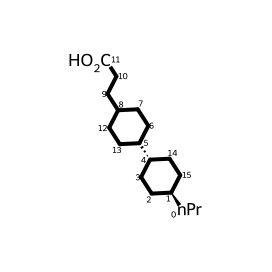 CCC[C@H]1CC[C@H](C2CCC(CCC(=O)O)CC2)CC1